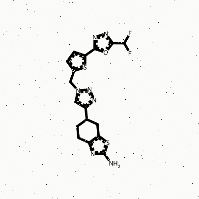 Nc1nc2c(s1)CC(c1cn(Cc3ccc(-c4nnc(C(F)F)o4)s3)nn1)CC2